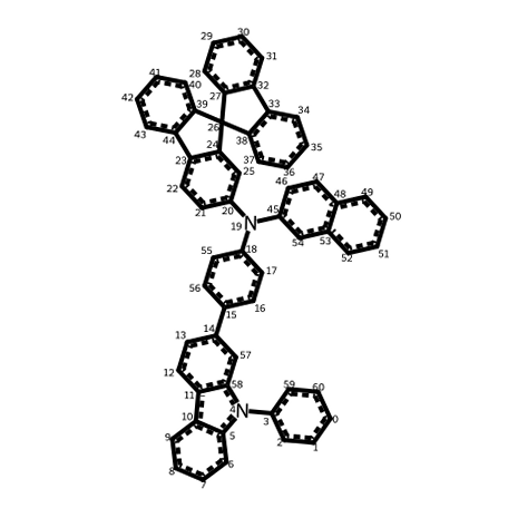 c1ccc(-n2c3ccccc3c3ccc(-c4ccc(N(c5ccc6c(c5)C5(c7ccccc7-c7ccccc75)c5ccccc5-6)c5ccc6ccccc6c5)cc4)cc32)cc1